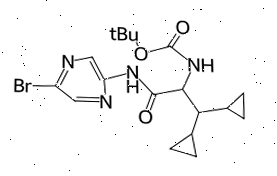 CC(C)(C)OC(=O)NC(C(=O)Nc1cnc(Br)cn1)C(C1CC1)C1CC1